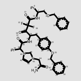 CC(C)C(COCc1ccccc1)NC(=O)C(F)(F)C(=O)C(Cc1ccc(OCc2ccccc2)cc1)NC(=O)C(C(C)C)N1C=CN(CC(N)=O)C1